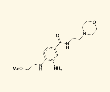 COCCNc1ccc(C(=O)NCCN2CCOCC2)cc1N